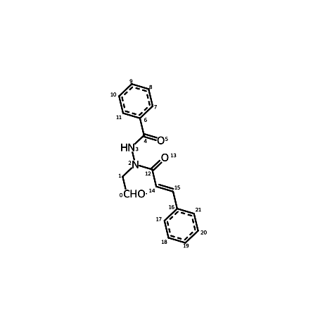 O=[C]CN(NC(=O)c1ccccc1)C(=O)/C=C/c1ccccc1